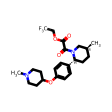 C[C@H]1CC[C@H](c2ccc(OC3CCN(C)CC3)cc2)N(C(=O)C(=O)OCC(F)(F)F)C1